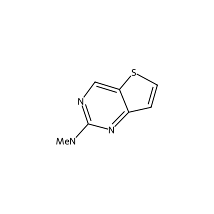 CNc1ncc2sccc2n1